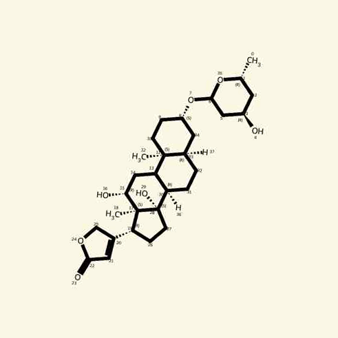 C[C@@H]1C[C@@H](O)CC(O[C@H]2CC[C@]3(C)C4C[C@@H](O)[C@]5(C)[C@@H](C6=CC(=O)OC6)CC[C@]5(O)[C@@H]4CC[C@@H]3C2)O1